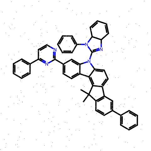 CC1(C)c2ccc(-c3ccccc3)cc2-c2ccc3c(c21)c1ccc(-c2nccc(-c4ccccc4)n2)cc1n3C1=NC2C=CC=CC2N1c1ccccc1